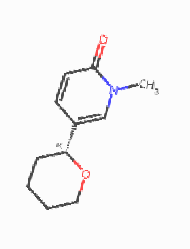 Cn1cc([C@H]2CCCCO2)ccc1=O